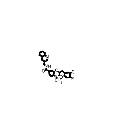 CN1C(=O)C(Cc2ccc(F)c(Cl)c2)Oc2cc(C(=O)NCc3cnc4ccccc4c3)ccc21